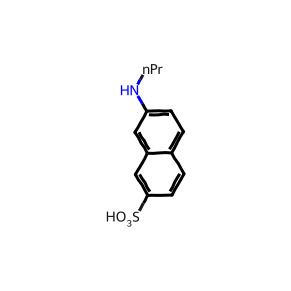 CCCNc1ccc2ccc(S(=O)(=O)O)cc2c1